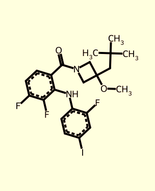 COC1(CC(C)(C)C)CN(C(=O)c2ccc(F)c(F)c2Nc2ccc(I)cc2F)C1